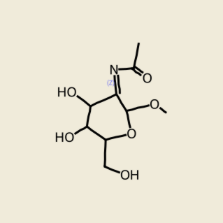 COC1OC(CO)C(O)C(O)/C1=N/C(C)=O